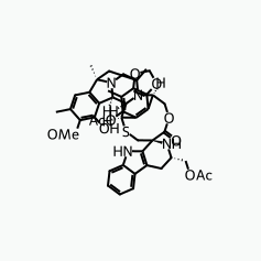 COc1c(C)cc2c(c1O)[C@@H]1[C@@H]3[C@@H]4SC[C@]5(N[C@H](COC(C)=O)Cc6c5[nH]c5ccccc65)C(=O)OC[C@@H](c5c6c(c(C)c(OC(C)=O)c54)OCO6)N3C3(C)CN1[C@]2(C)C3